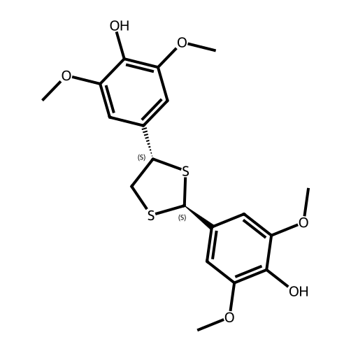 COc1cc([C@H]2SC[C@H](c3cc(OC)c(O)c(OC)c3)S2)cc(OC)c1O